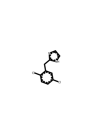 Clc1ccc(Cl)c(Cc2ncc[nH]2)c1